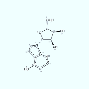 O=C(O)[C@H]1O[C@@H](n2cnc3c(O)ncnc32)[C@H](O)[C@@H]1O